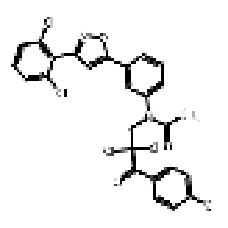 CC(=O)N(CC(Cl)(Cl)C(=O)c1ccc(Cl)cc1)c1cccc(-c2cc(-c3c(Cl)cccc3Cl)no2)c1